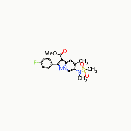 COC(=O)c1c(-c2ccc(F)cc2)nn2cc(N(C)S(C)(=O)=O)c(C)cc12